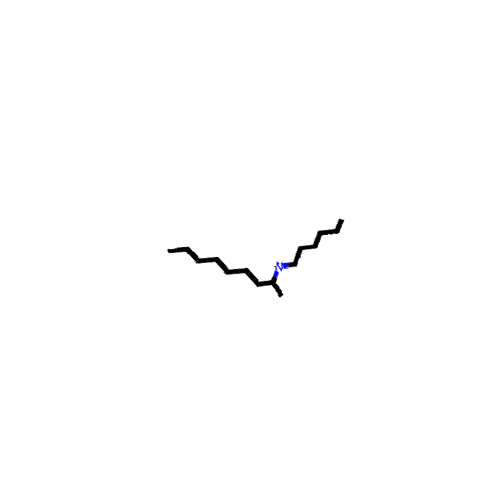 CCCCCCCC(C)[N]CCCCCC